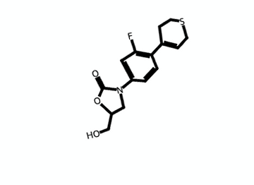 O=C1OC(CO)CN1c1ccc(C2=CCSCC2)c(F)c1